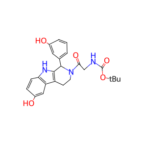 CC(C)(C)OC(=O)NCC(=O)N1CCc2c([nH]c3ccc(O)cc23)C1c1cccc(O)c1